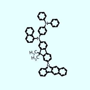 CC1(C)c2cc(N(c3ccc(N(c4ccccc4)c4ccccc4)cc3)c3cccc4ccccc34)ccc2-c2ccc(-n3c4ccccc4c4cc5ccccc5cc43)cc21